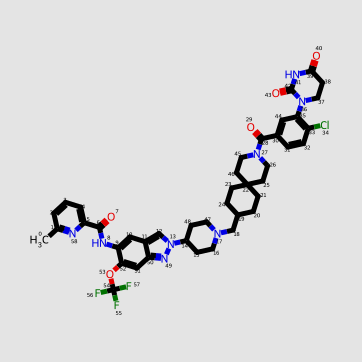 Cc1cccc(C(=O)Nc2cc3cn(C4CCN(CC5CCC6(CC5)CCN(C(=O)c5ccc(Cl)c(N7CCC(=O)NC7=O)c5)CC6)CC4)nc3cc2OC(F)(F)F)n1